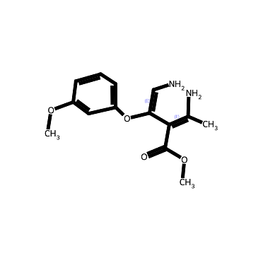 COC(=O)C(/C(=C\N)Oc1cccc(OC)c1)=C(\C)N